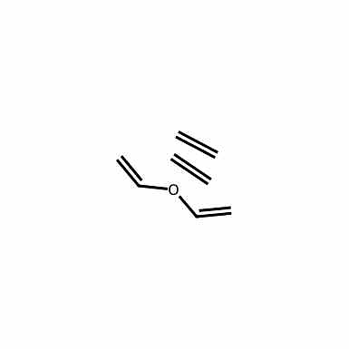 C=C.C=C.C=COC=C